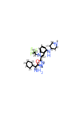 CN1CCC(Nc2cccc3c2cc(-c2nnc(C(N)C4CCCCC4)o2)n3CC(F)(F)F)CC1